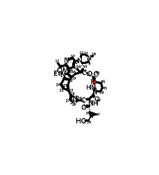 CCn1c(-c2cc(N3CCN(C)CC3)cnc2[C@H](C)OC)c2c3cc(ccc31)-c1csc(n1)C[C@H](NC(=O)[C@@H]1C[C@H]1CO)C(=O)N1CCC[C@H](N1)C(=O)OCC(C)(C)C2